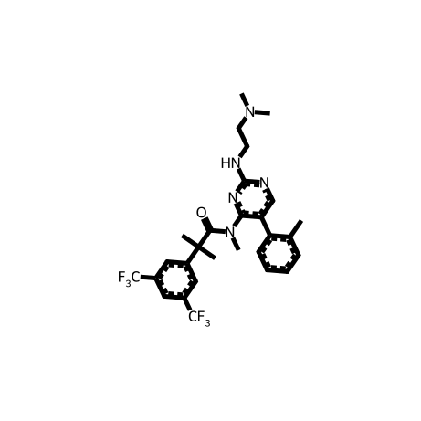 Cc1ccccc1-c1cnc(NCCN(C)C)nc1N(C)C(=O)C(C)(C)c1cc(C(F)(F)F)cc(C(F)(F)F)c1